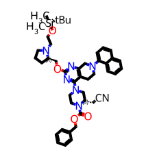 CC(C)(C)[Si](C)(C)OCCN1CCC[C@@H]1COc1nc2c(c(N3CCN(C(=O)OCc4ccccc4)[C@@H](CC#N)C3)n1)CCN(c1cccc3ccccc13)C2